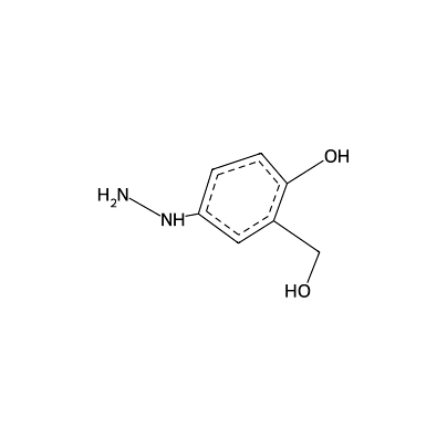 NNc1ccc(O)c(CO)c1